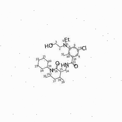 CCN(CCO)c1cc(Cl)cc(C(=O)NCC2C(=O)N(C3CCCCC3)C(C)CC2C)c1C